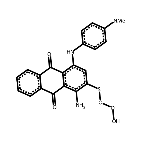 CNc1ccc(Nc2cc(SOOO)c(N)c3c2C(=O)c2ccccc2C3=O)cc1